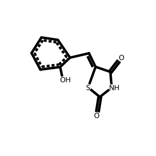 O=C1NC(=O)C(=Cc2ccccc2O)S1